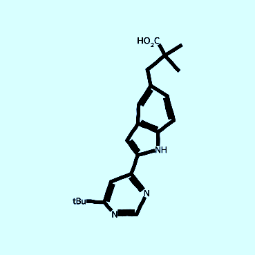 CC(C)(Cc1ccc2[nH]c(-c3cc(C(C)(C)C)ncn3)cc2c1)C(=O)O